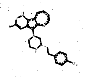 CC1=Cc2c(c3ccccnc-3c2N2CCN[C@@H](CCc3ccc(C(F)(F)F)cc3)C2)NS1